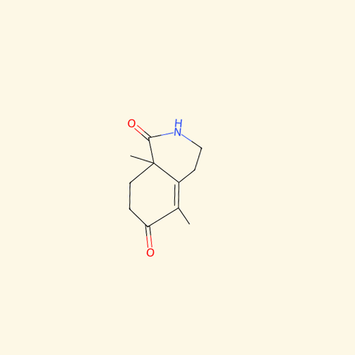 CC1=C2CCNC(=O)C2(C)CCC1=O